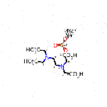 O=C(O)CN(CCN(CC(=O)O)CC(=O)O)CC(=O)O.O=S([O-])[O-].[Na+].[Na+]